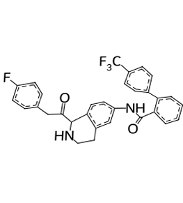 O=C(Nc1ccc2c(c1)CCNC2C(=O)Cc1ccc(F)cc1)c1ccccc1-c1ccc(C(F)(F)F)cc1